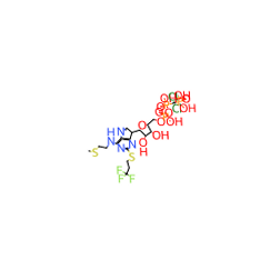 CSCCNc1nc(SCCC(F)(F)F)nc2c1N=CC2C1OC(COP(=O)(O)OP(=O)(O)C(Cl)(Cl)P(=O)(O)O)C(O)C1O